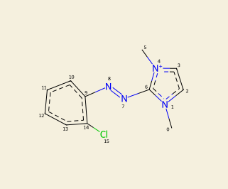 Cn1cc[n+](C)c1N=Nc1ccccc1Cl